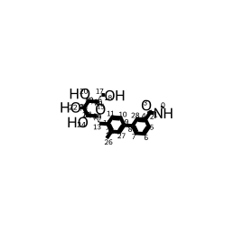 CNC(=O)c1cccc(-c2ccc(C[C@H]3O[C@@H](CO)[C@@H](O)[C@H](O)[C@H]3O)c(C)c2)c1